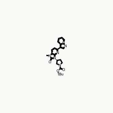 Cn1c(=O)n([C@@H]2CCN(C(=O)OC(C)(C)C)C2)c2nc(-c3cnn4ccccc34)ccc21